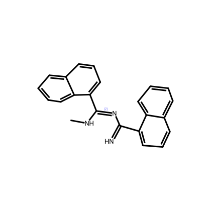 CN/C(=N\C(=N)c1cccc2ccccc12)c1cccc2ccccc12